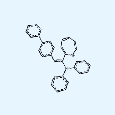 [c]1ccc(-c2ccc(C=C(C3=CC=CC=CN3)N(c3ccccc3)c3ccccc3)cc2)cc1